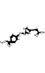 COC(=O)Cc1c[nH]c(N=Nc2ccc(C(=O)OC)cc2)n1